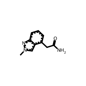 Cn1cc2c(CC(N)=O)cccc2n1